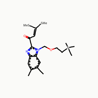 CSC(=CC(=O)c1nc2cc(C)c(C)cc2n1COCC[Si](C)(C)C)SC